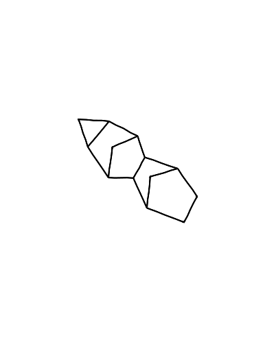 C1CC2CC1C1C3CC(C4CC43)C21